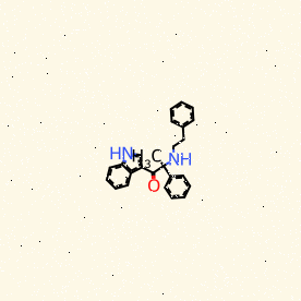 CC(NCCc1ccccc1)(C(=O)c1c[nH]c2ccccc12)c1ccccc1